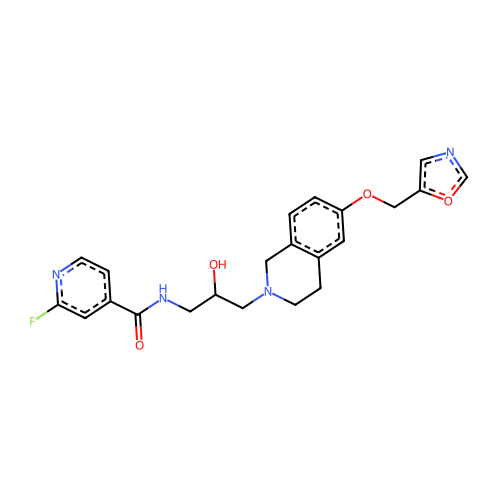 O=C(NCC(O)CN1CCc2cc(OCc3cnco3)ccc2C1)c1ccnc(F)c1